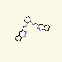 C(=NC1CCCCC1N=Cc1cc2ccccc2nn1)c1cc2ccccc2nn1